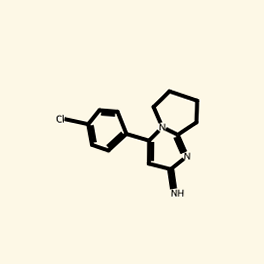 N=c1cc(-c2ccc(Cl)cc2)n2c(n1)CCCC2